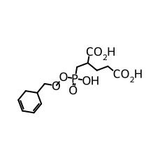 O=C(O)CCC(CP(=O)(O)OOCC1C=CC=CC1)C(=O)O